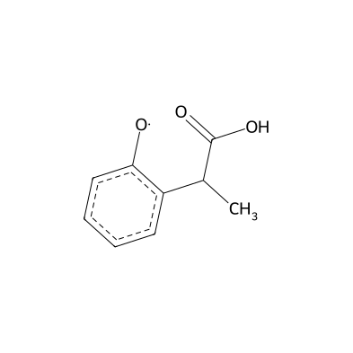 CC(C(=O)O)c1ccccc1[O]